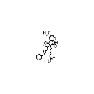 Cc1cncc(C(=O)C(CCCCC(=O)O)(C(=O)O)C(=O)COCc2ccccc2)c1